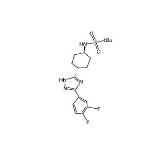 CC(C)(C)S(=O)(=O)N[C@H]1CC[C@H](c2nc(-c3ccc(F)c(F)c3)n[nH]2)CC1